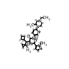 CCN1CC[N+](c2ccc(NC(=O)[C@@H](NC(=O)c3ccnn3C)C(C3CCC3)C3(C)CC3)cn2)=C(C)C1